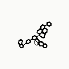 c1ccc(-c2ccc3ccc4c(-c5ccc(-c6ccc(-c7cccc8ccccc78)cc6)c6oc7cc8ccccc8cc7c56)ccc5ccc2c3c54)cc1